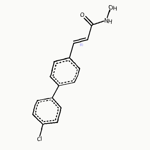 O=C(/C=C/c1ccc(-c2ccc(Cl)cc2)cc1)NO